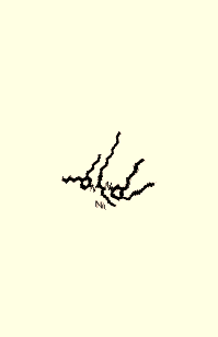 CCCCCCCCC#CC(=Nc1ccc(CCCCC)c(CCCCC)c1)C(CCCC)=Nc1ccc(CCCCC)c(CCCCC)c1.[Ni]